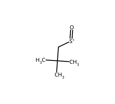 CC(C)(C)C[S+]=O